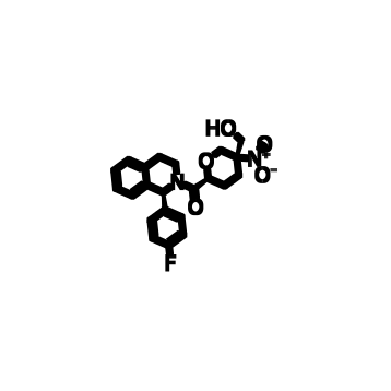 O=C([C@@H]1CC[C@@](CO)([N+](=O)[O-])CO1)N1CCc2ccccc2[C@@H]1c1ccc(F)cc1